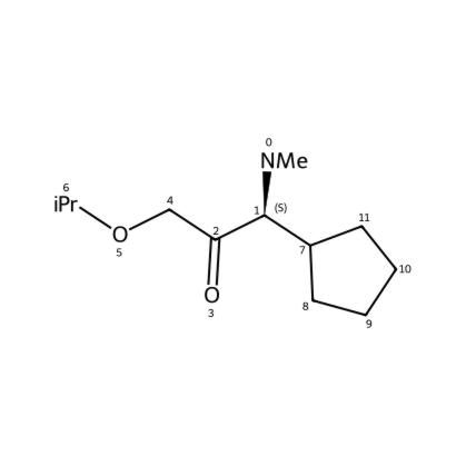 CN[C@H](C(=O)COC(C)C)C1CCCC1